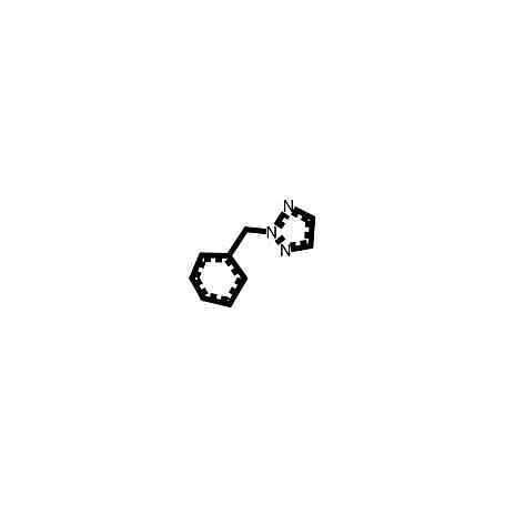 c1ccc(Cn2nccn2)cc1